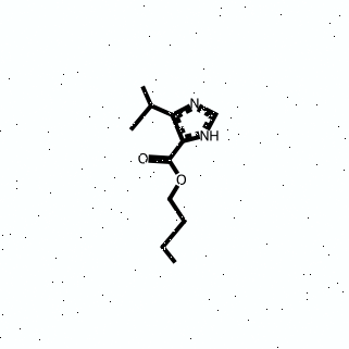 CCCCOC(=O)c1[nH]cnc1C(C)C